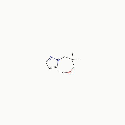 CC1(C)COCc2ccnn2C1